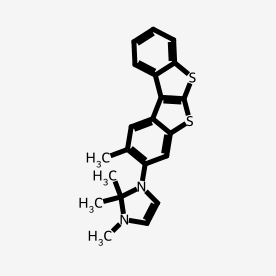 Cc1cc2c(cc1N1C=CN(C)C1(C)C)sc1sc3ccccc3c12